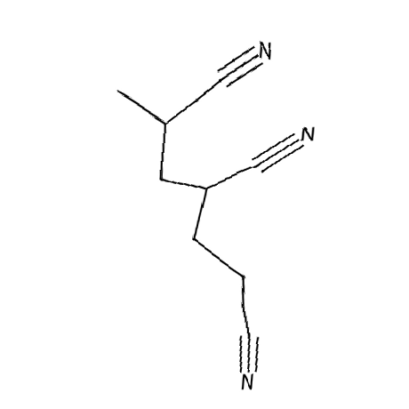 CC(C#N)CC(C#N)CCC#N